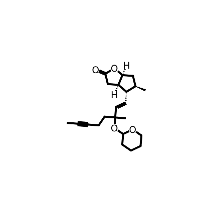 CC#CCCC(C)(C=C[C@@H]1[C@H]2CC(=O)O[C@H]2C[C@H]1C)OC1CCCCO1